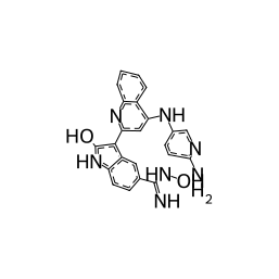 N=C(NO)c1ccc2[nH]c(O)c(-c3cc(Nc4ccc(N)nc4)c4ccccc4n3)c2c1